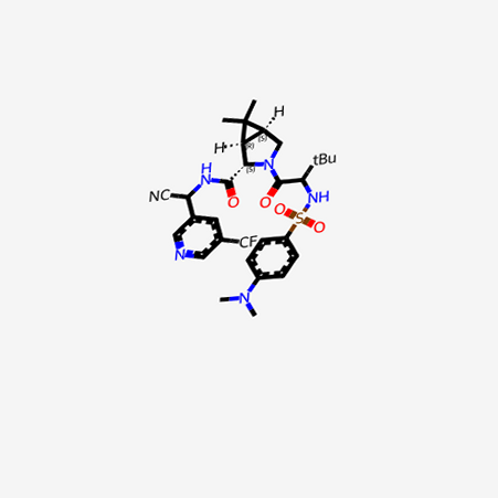 CN(C)c1ccc(S(=O)(=O)NC(C(=O)N2C[C@H]3[C@@H]([C@H]2C(=O)NC(C#N)c2cncc(C(F)(F)F)c2)C3(C)C)C(C)(C)C)cc1